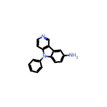 Nc1ccc2c(c1)c1cnccc1n2-c1ccccc1